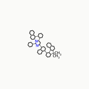 CC1(C)c2cccc(-c3ccc(-c4cc(-c5ccccc5-c5cccc6ccccc56)nc(-c5ccccc5)n4)c4ccccc34)c2-c2c1ccc1ccccc21